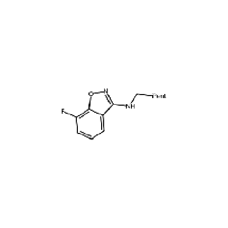 CCCC(C)CNc1noc2c(F)cccc12